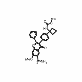 COc1cc2oc(-c3ccccc3)c(-c3ccc(C4(NC(=O)OC(C)(C)C)CCC4)cc3)c(=O)c2cc1C(N)=O